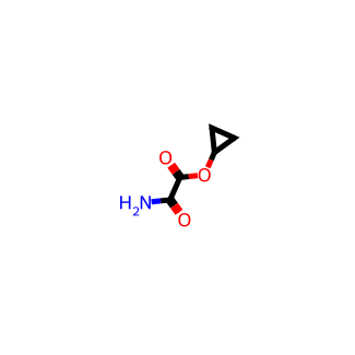 NC(=O)C(=O)OC1CC1